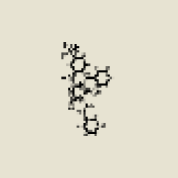 O=c1nc(Nc2cccc(C(F)(F)F)c2)n(Cc2ccccc2)c(=O)n1CCc1ccccc1